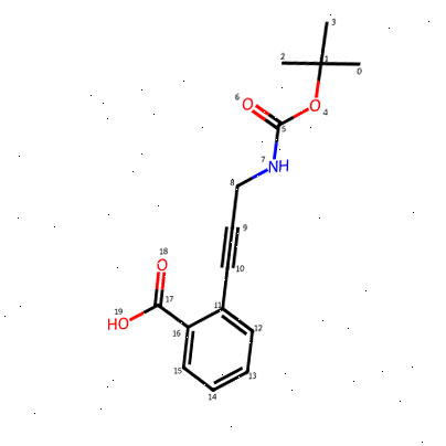 CC(C)(C)OC(=O)NCC#Cc1ccccc1C(=O)O